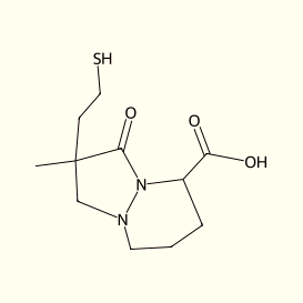 CC1(CCS)CN2CCCC(C(=O)O)N2C1=O